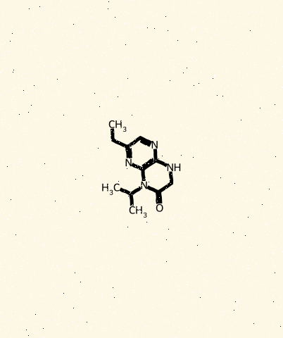 CCc1cnc2c(n1)N(C(C)C)C(=O)CN2